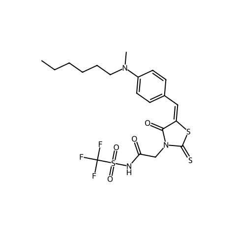 CCCCCCN(C)c1ccc(C=C2SC(=S)N(CC(=O)NS(=O)(=O)C(F)(F)F)C2=O)cc1